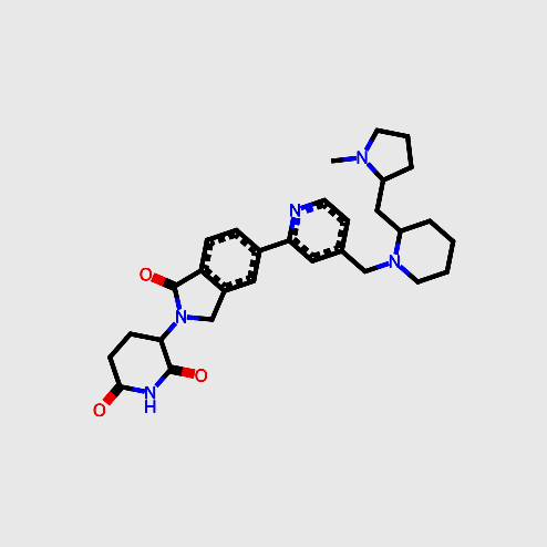 CN1CCCC1CC1CCCCN1Cc1ccnc(-c2ccc3c(c2)CN(C2CCC(=O)NC2=O)C3=O)c1